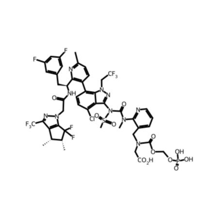 Cc1ccc(-c2ccc(Cl)c3c(N(C(=O)N(C)c4ncccc4CN(CC(=O)O)C(=O)OCOP(=O)(O)O)S(C)(=O)=O)nn(CC(F)(F)F)c23)c([C@H](Cc2cc(F)cc(F)c2)NC(=O)Cn2nc(C(F)(F)F)c3c2C(F)(F)[C@H](C)[C@@H]3C)n1